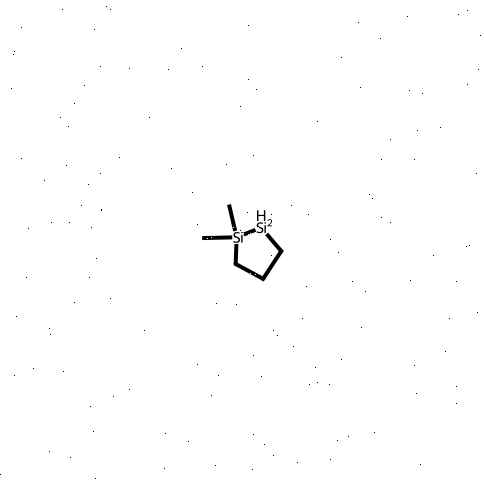 C[Si]1(C)CCC[SiH2]1